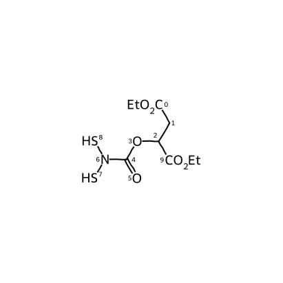 CCOC(=O)CC(OC(=O)N(S)S)C(=O)OCC